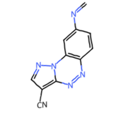 C=Nc1ccc2nnc3c(C#N)cnn3c2c1